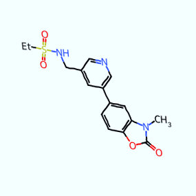 CCS(=O)(=O)NCc1cncc(-c2ccc3oc(=O)n(C)c3c2)c1